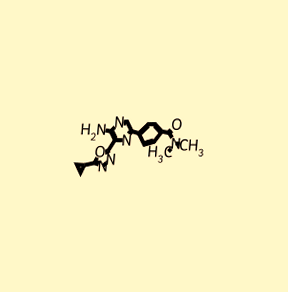 CN(C)C(=O)c1ccc(-c2cnc(N)c(-c3nnc(C4CC4)o3)n2)cc1